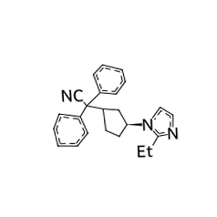 CCc1nccn1[C@H]1CCC(C(C#N)(c2ccccc2)c2ccccc2)C1